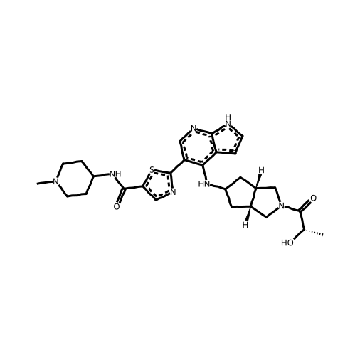 C[C@H](O)C(=O)N1C[C@H]2CC(Nc3c(-c4ncc(C(=O)NC5CCN(C)CC5)s4)cnc4[nH]ccc34)C[C@H]2C1